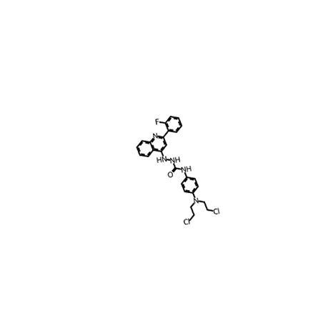 O=C(NNc1cc(-c2ccccc2F)nc2ccccc12)Nc1ccc(N(CCCl)CCCl)cc1